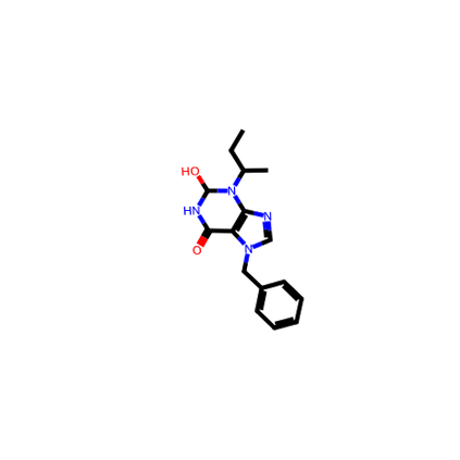 CCC(C)N1c2ncn(Cc3ccccc3)c2C(=O)NC1O